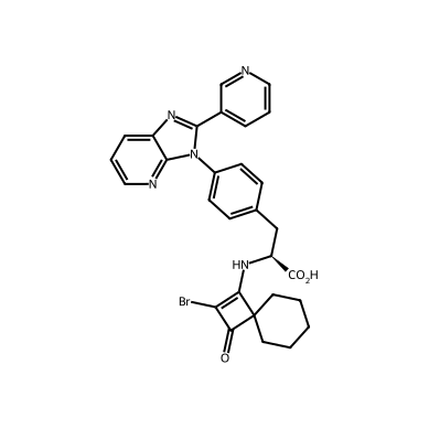 O=C(O)[C@H](Cc1ccc(-n2c(-c3cccnc3)nc3cccnc32)cc1)NC1=C(Br)C(=O)C12CCCCC2